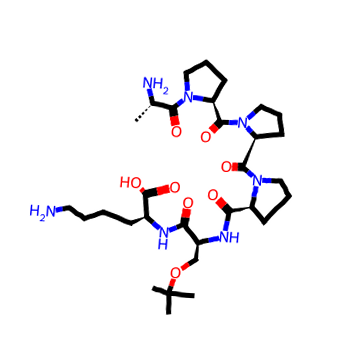 C[C@H](N)C(=O)N1CCC[C@H]1C(=O)N1CCC[C@H]1C(=O)N1CCC[C@H]1C(=O)N[C@@H](COC(C)(C)C)C(=O)N[C@@H](CCCCN)C(=O)O